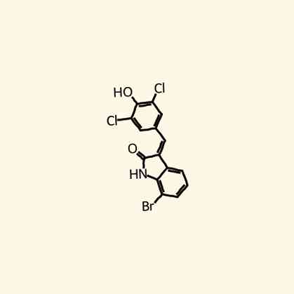 O=C1Nc2c(Br)cccc2C1=Cc1cc(Cl)c(O)c(Cl)c1